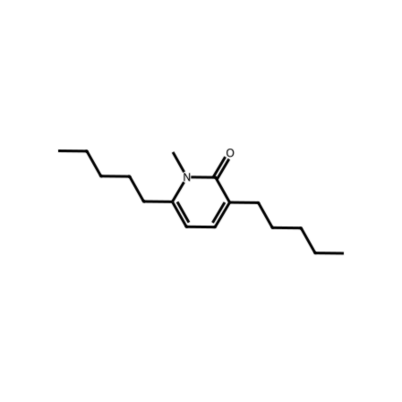 CCCCCc1ccc(CCCCC)n(C)c1=O